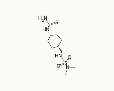 CN(C)S(=O)(=O)NC[C@H]1CC[C@H](NC(N)=S)CC1